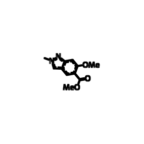 COC(=O)c1cc2cn(C)nc2cc1OC